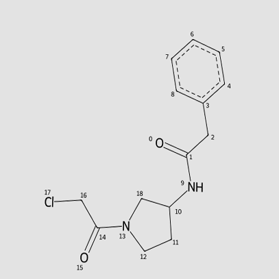 O=C(Cc1ccccc1)NC1CCN(C(=O)CCl)C1